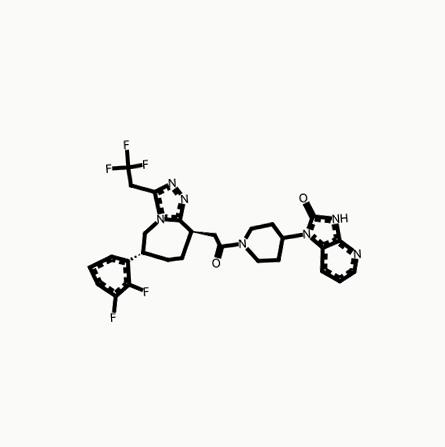 O=C(C[C@H]1CC[C@H](c2cccc(F)c2F)Cn2c(CC(F)(F)F)nnc21)N1CCC(n2c(=O)[nH]c3ncccc32)CC1